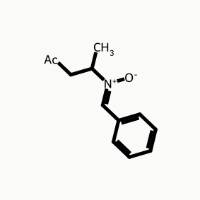 CC(=O)CC(C)[N+]([O-])=Cc1ccccc1